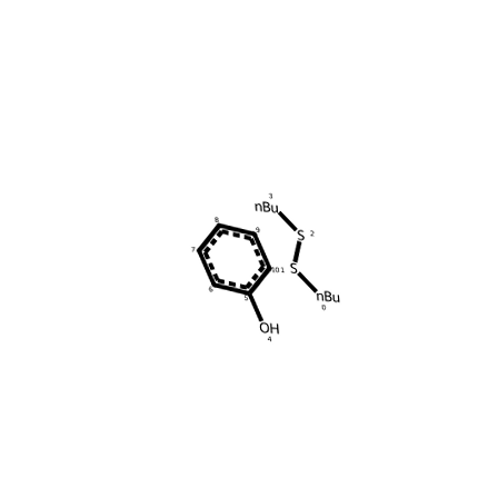 CCCCSSCCCC.Oc1ccccc1